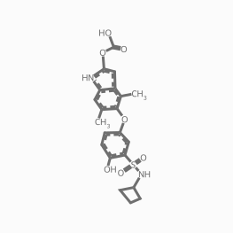 Cc1cc2[nH]c(OC(=O)O)cc2c(C)c1Oc1ccc(O)c(S(=O)(=O)NC2CCC2)c1